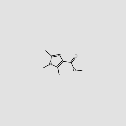 COC(=O)c1[c]c(C)n(C)c1C